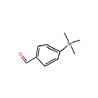 [CH3][Sn]([CH3])([CH3])[c]1ccc(C=O)cc1